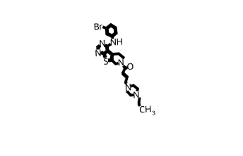 CCCN1CCN(C/C=C/C(=O)N2CCc3c(sc4ncnc(Nc5cccc(Br)c5)c34)C2)CC1